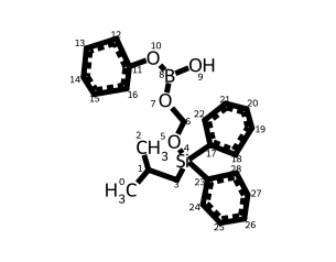 CC(C)C[Si](OCOB(O)Oc1ccccc1)(c1ccccc1)c1ccccc1